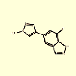 Cn1cc(-c2cc(F)c3[nH]ncc3c2)cn1